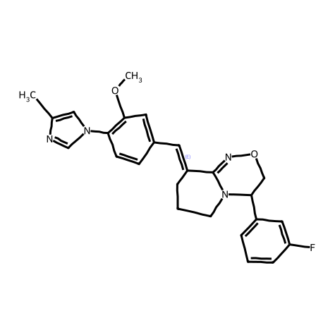 COc1cc(/C=C2\CCCN3C2=NOCC3c2cccc(F)c2)ccc1-n1cnc(C)c1